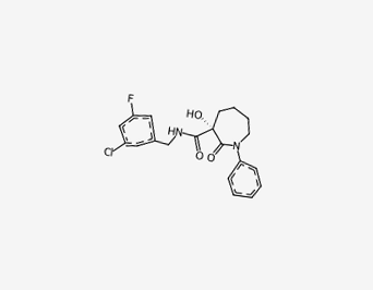 O=C(NCc1cc(F)cc(Cl)c1)[C@@]1(O)CCCCN(c2ccccc2)C1=O